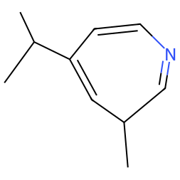 CC1C=NC=CC(C(C)C)=C1